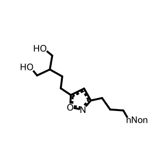 CCCCCCCCCCCCc1cc(CCC(CO)CO)on1